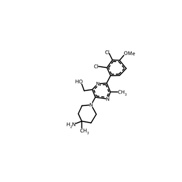 COc1ccc(-c2nc(CO)c(N3CCC(C)(N)CC3)nc2C)c(Cl)c1Cl